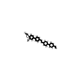 C=CC1CCC(C2CCC(CCc3ccc(-c4ccc(OCC)c(F)c4)cc3)CC2)CC1